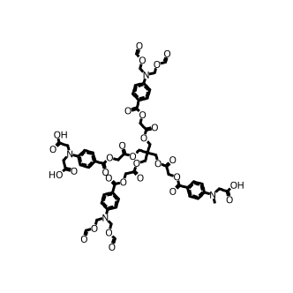 CN(CC(=O)O)c1ccc(C(=O)OCC(=O)OCC(COC(=O)COC(=O)c2ccc(N(COC=O)COC=O)cc2)(COC(=O)COC(=O)c2ccc(N(COC=O)COC=O)cc2)COC(=O)COC(=O)c2ccc(N(CC(=O)O)CC(=O)O)cc2)cc1